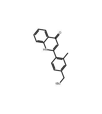 Cc1cc(CC(C)(C)C)ccc1-c1cc(=O)c2ccccc2[nH]1